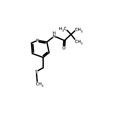 CSCc1ccnc(NC(=O)C(C)(C)C)c1